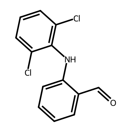 O=Cc1ccccc1Nc1c(Cl)cccc1Cl